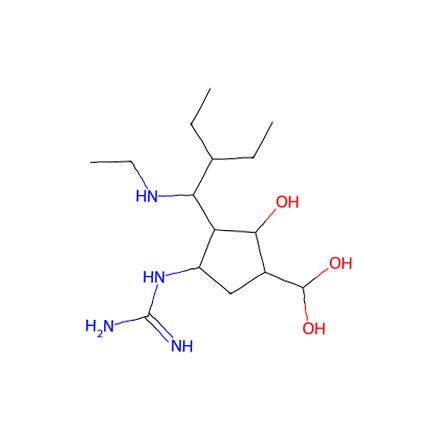 CCNC(C(CC)CC)C1C(NC(=N)N)CC(C(O)O)C1O